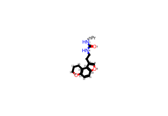 CCCNC(=O)NCCc1coc2ccc3c(c12)CCCO3